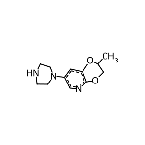 CC1COc2ncc(N3CCNCC3)cc2O1